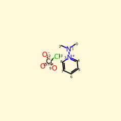 CN(C)[n+]1ccccc1.[O]=[Cr](=[O])([O-])[Cl]